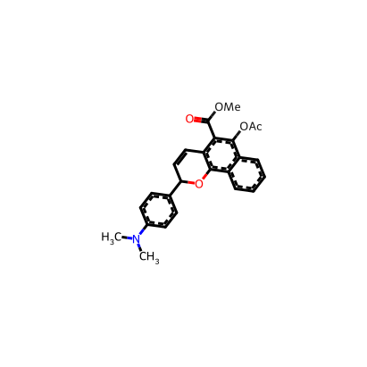 COC(=O)c1c2c(c3ccccc3c1OC(C)=O)OC(c1ccc(N(C)C)cc1)C=C2